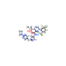 CC(O)c1ncc(-c2c(C(F)F)ccc(Cl)c2F)nc1C(=O)Nc1cnn(Cc2cnc(N3CCC3)nc2)c1